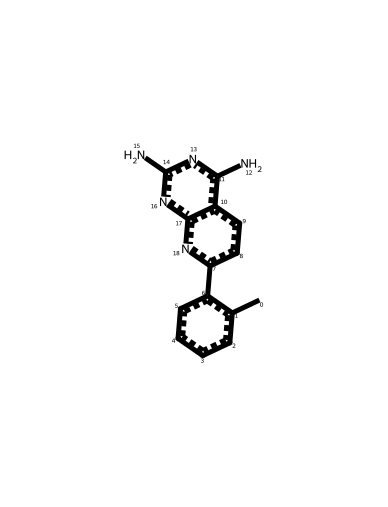 Cc1ccccc1-c1ccc2c(N)nc(N)nc2n1